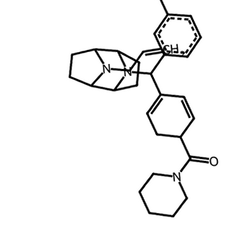 C=CCN1C2CCC1C1CCC2N1C(C1=CCC(C(=O)N2CCCCC2)C=C1)c1cccc(O)c1